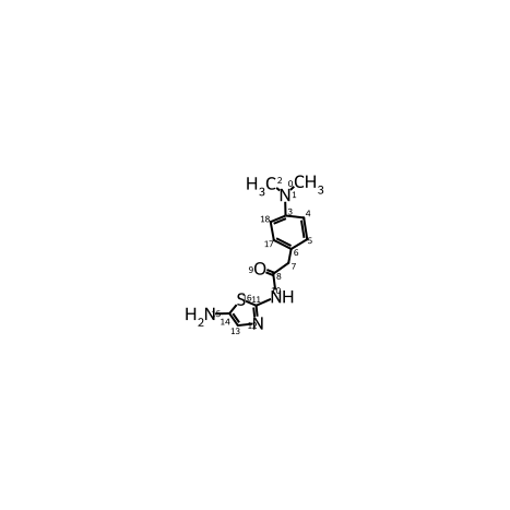 CN(C)c1ccc(CC(=O)Nc2ncc(N)s2)cc1